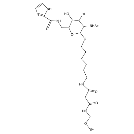 CC(=O)NC1C(OCCCCCCNC(=O)CC(=O)NCOC(C)C)OC(CNC(=O)c2ncc[nH]2)C(O)C1O